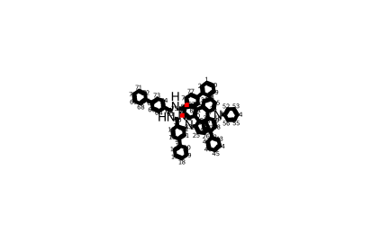 c1ccc(-c2ccc(C3=NC(c4ccc(-c5ccccc5)cc4-n4c5ccccc5c5c(-c6cccc7c6c6ccc(-c8ccccc8)cc6n7-c6ccccc6)cccc54)NC(c4ccc(-c5ccccc5)cc4)N3)cc2)cc1